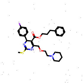 CSC1=NC(c2ccc(I)cc2)C(C(=O)OCCCc2ccccc2)=C(COCCN2CCCCC2)N1